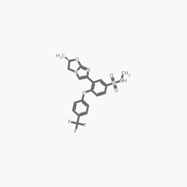 CNS(=O)(=O)c1ccc(Oc2ccc(C(F)(F)F)cc2)c(-c2cn3c(n2)O[C@H](C)C3)c1